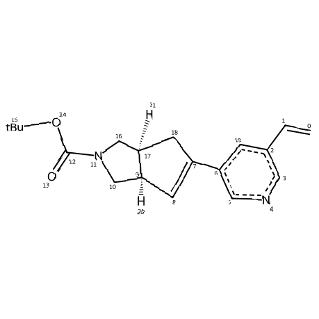 C=Cc1cncc(C2=C[C@H]3CN(C(=O)OC(C)(C)C)C[C@H]3C2)c1